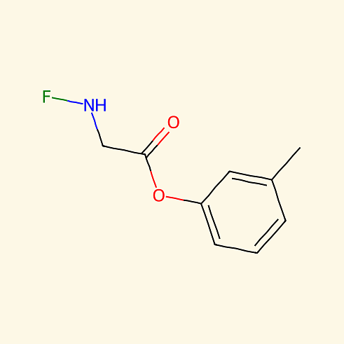 Cc1cccc(OC(=O)CNF)c1